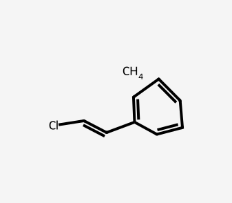 C.ClC=Cc1ccccc1